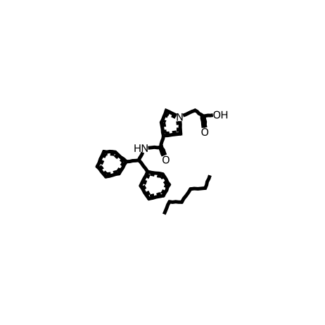 CCCCCC.O=C(O)Cn1ccc(C(=O)NC(c2ccccc2)c2ccccc2)c1